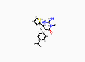 CC(C)c1ccc([C@H]2C(=O)N(C)C(=N)N[C@]2(C)c2cccs2)cc1